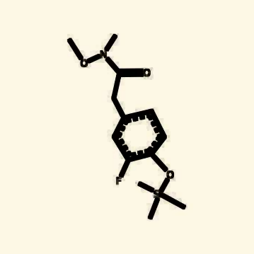 CON(C)C(=O)Cc1ccc(O[Si](C)(C)C)c(F)c1